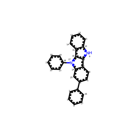 c1ccc(-c2ccc3c4[nH]c5ccccc5c4n(-c4ccccc4)c3c2)cc1